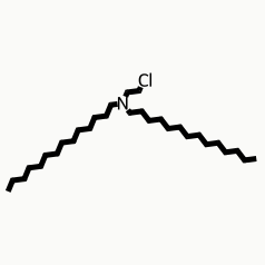 CCCCCCCCCCCCCCN(CCCl)CCCCCCCCCCCCCC